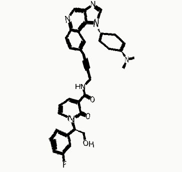 CN(C)[C@H]1CC[C@H](n2cnc3cnc4ccc(C#CCNC(=O)c5cccn([C@@H](CO)c6cccc(F)c6)c5=O)cc4c32)CC1